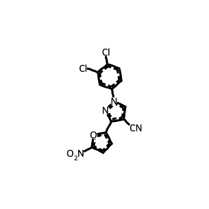 N#Cc1cn(-c2ccc(Cl)c(Cl)c2)nc1-c1ccc([N+](=O)[O-])o1